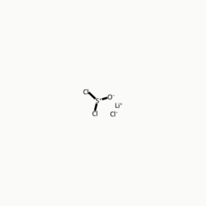 [Cl-].[Li+].[O-][S+](Cl)Cl